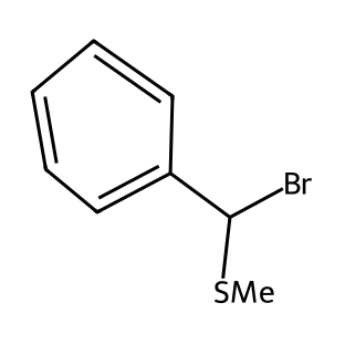 CSC(Br)c1ccccc1